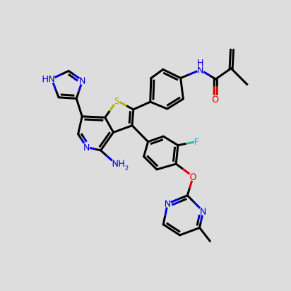 C=C(C)C(=O)Nc1ccc(-c2sc3c(-c4c[nH]cn4)cnc(N)c3c2-c2ccc(Oc3nccc(C)n3)c(F)c2)cc1